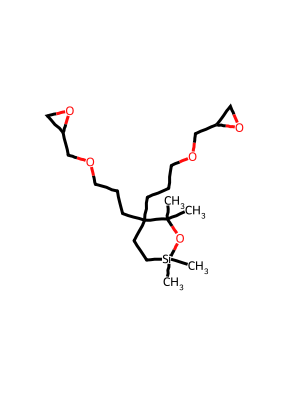 CC1(C)O[Si](C)(C)CCC1(CCCOCC1CO1)CCCOCC1CO1